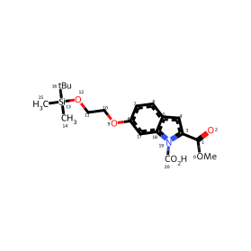 COC(=O)c1cc2ccc(OCCO[Si](C)(C)C(C)(C)C)cc2n1C(=O)O